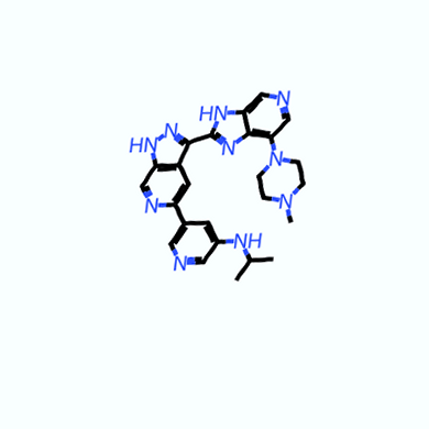 CC(C)Nc1cncc(-c2cc3c(-c4nc5c(N6CCN(C)CC6)cncc5[nH]4)n[nH]c3cn2)c1